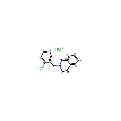 Cl.Clc1ccccc1CN1CCc2ccccc2C1